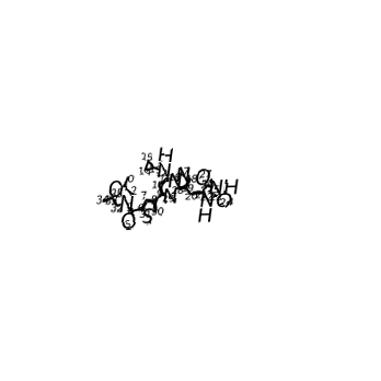 CC1CN(C(=O)c2cc(-c3cc(NC4CC4)n4ncc(/C=C5/NC(=O)NC5=O)c4n3)cs2)CC(C)O1